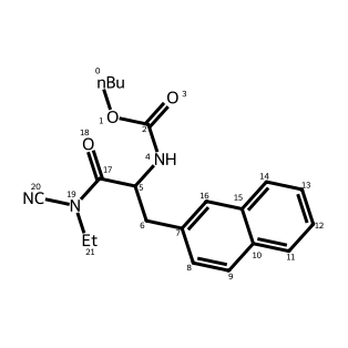 CCCCOC(=O)NC(Cc1ccc2ccccc2c1)C(=O)N(C#N)CC